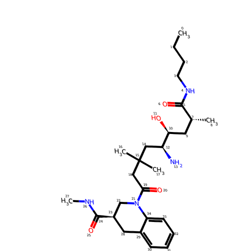 CCCCNC(=O)[C@H](C)C[C@H](O)[C@@H](N)CC(C)(C)CC(=O)N1C[C@H](C(=O)NC)Cc2ccccc21